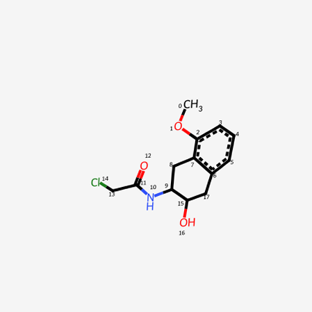 COc1cccc2c1CC(NC(=O)CCl)C(O)C2